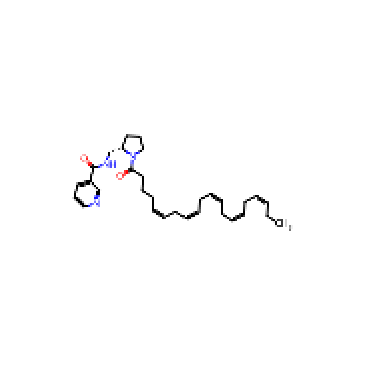 CC/C=C\C/C=C\C/C=C\C/C=C\C/C=C\CCCC(=O)N1CCC[C@H]1CNC(=O)c1cccnc1